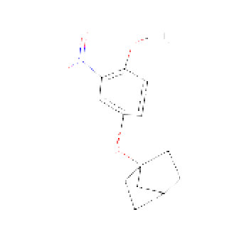 COc1ccc(OC23CCC(CC2)C3)cc1[N+](=O)[O-]